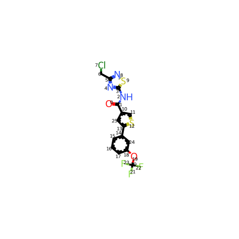 O=C(Nc1nc(CCl)ns1)c1csc(-c2cccc(OC(F)(F)F)c2)c1